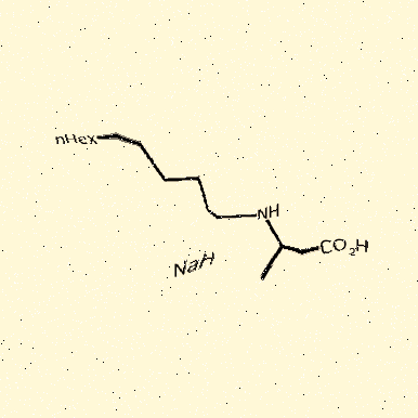 CCCCCCCCCCNC(C)C(=O)O.[NaH]